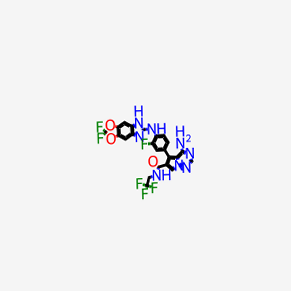 Nc1ncnn2cc(C(=O)NCC(F)(F)F)c(-c3ccc(Nc4nc5cc6c(cc5[nH]4)OC(F)(F)O6)c(F)c3)c12